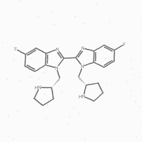 Fc1ccc2c(c1)nc(-c1nc3cc(F)ccc3n1C[C@@H]1CCCN1)n2C[C@@H]1CCCN1